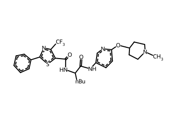 CCCCC(NC(=O)c1sc(-c2ccccc2)nc1C(F)(F)F)C(=O)Nc1ccc(OC2CCN(C)CC2)nc1